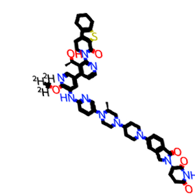 [2H]C([2H])([2H])Oc1ncc(-c2ccnc(N3CCc4c(sc5c4CCCC5)C3=O)c2[C@@H](C)O)cc1Nc1ccc(N2CCN(C3CCN(c4ccc5c(c4)CN([C@H]4CCC(=O)NC4=O)C5=O)CC3)C[C@@H]2C)cn1